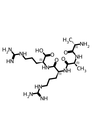 C[C@H](N)C(=O)N[C@@H](C)C(=O)N[C@@H](CCCNC(=N)N)C(=O)N[C@@H](CCCNC(=N)N)C(=O)O